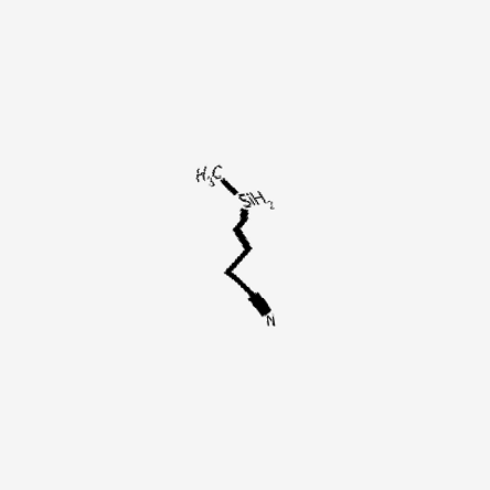 C[SiH2]CCCC#N